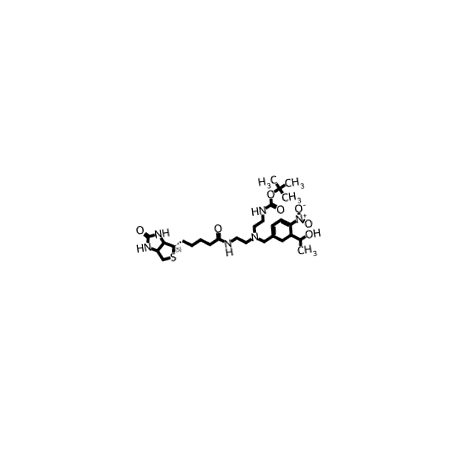 CC(O)C1CC(CN(CCNC(=O)CCCC[C@@H]2SCC3NC(=O)NC32)CCNC(=O)OC(C)(C)C)=CC=C1[N+](=O)[O-]